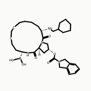 O=C1N[C@H](B(O)O)CCCCCCCCC[C@H](NCC2CCCCC2)C(=O)N2C[C@H](OC(=O)N3Cc4ccccc4C3)C[C@@H]12